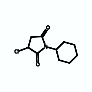 O=C1CC(Cl)C(=O)N1C1CCCCC1